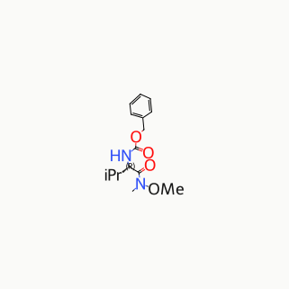 CON(C)C(=O)[C@H](NC(=O)OCc1ccccc1)C(C)C